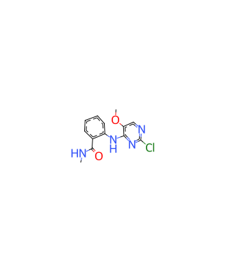 CNC(=O)c1ccccc1Nc1nc(Cl)ncc1OC